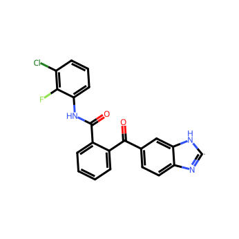 O=C(Nc1cccc(Cl)c1F)c1ccccc1C(=O)c1ccc2n[c][nH]c2c1